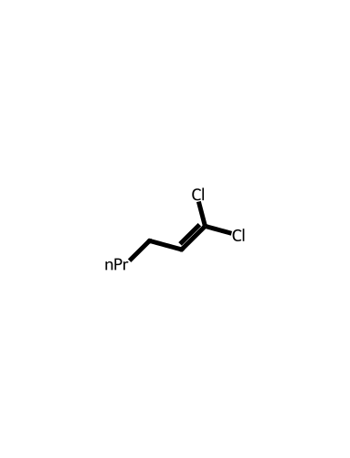 CCCCC=C(Cl)Cl